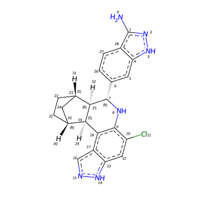 Nc1n[nH]c2cc([C@@H]3Nc4c(Cl)cc5[nH]ncc5c4[C@H]4[C@@H]5CC[C@@H](C5)[C@H]43)ccc12